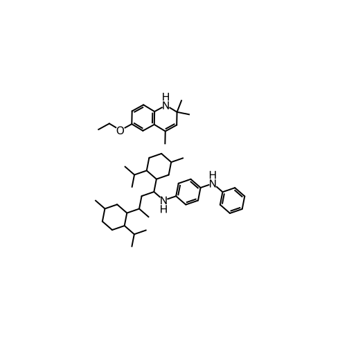 CC1CCC(C(C)C)C(C(C)CC(Nc2ccc(Nc3ccccc3)cc2)C2CC(C)CCC2C(C)C)C1.CCOc1ccc2c(c1)C(C)=CC(C)(C)N2